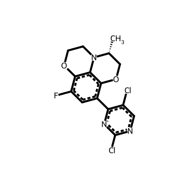 C[C@@H]1COc2c(-c3nc(Cl)ncc3Cl)cc(F)c3c2N1CCO3